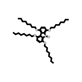 CCCCCCCCOc1ccc(OCCCCCCCC)c2c1c1c(OCCCCCCCC)ccc(OCCCCCCCC)c1[s+]2[O-]